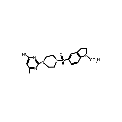 Cc1cc(C#N)nc(N2CCN(S(=O)(=O)c3ccc4c(c3)CCN4C(=O)O)CC2)n1